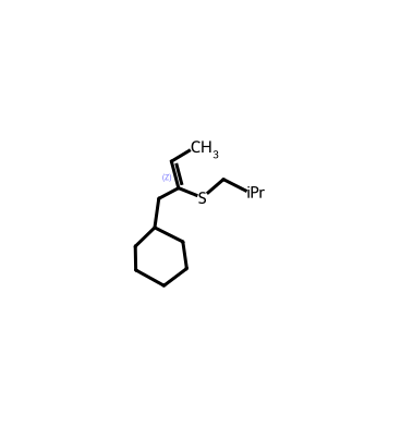 C/C=C(/CC1CCCCC1)SCC(C)C